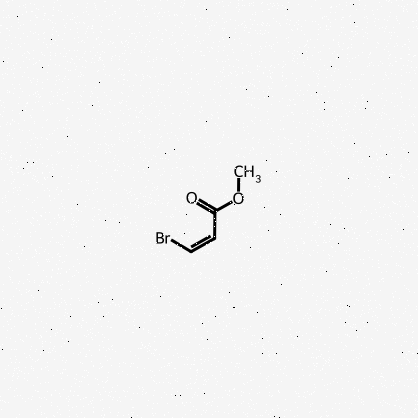 COC(=O)/C=C\Br